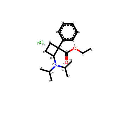 CCOC(=O)C1(c2ccccc2)CCC1N(C(C)C)C(C)C.Cl